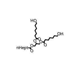 CCCCCCCC(=O)OCC(COC(=O)CCCCCCO)OC(=O)CCCCCCO